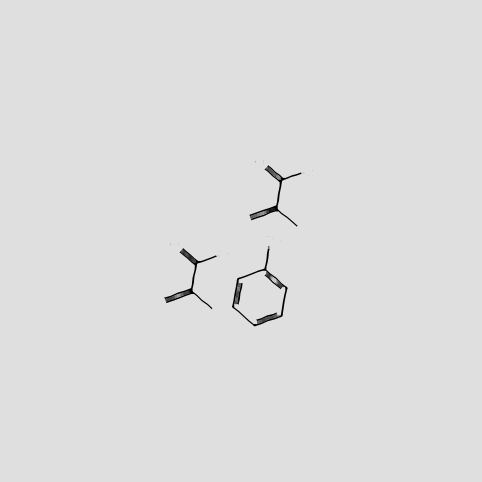 C=C(C)C(=O)[O-].C=C(C)C(=O)[O-].[Bi+2][c]1ccccc1